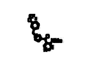 CNc1ncncc1C(=O)c1ccn(Cc2cccc(OC(F)(F)F)c2)c1